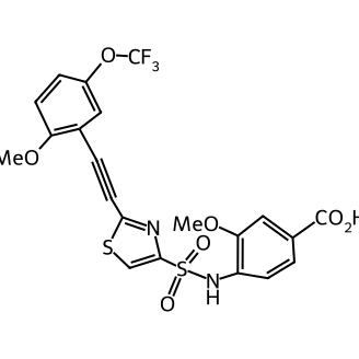 COc1ccc(OC(F)(F)F)cc1C#Cc1nc(S(=O)(=O)Nc2ccc(C(=O)O)cc2OC)cs1